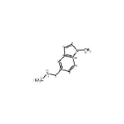 Cn1ccc2cc(CNC(=O)O)ccc21